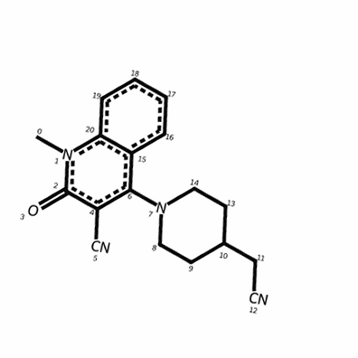 Cn1c(=O)c(C#N)c(N2CCC(CC#N)CC2)c2ccccc21